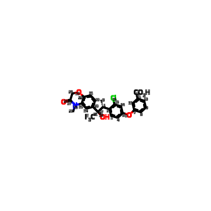 C[C@H](c1ccc(Oc2cccc(C(=O)O)c2)cc1Cl)[C@@](O)(c1ccc2c(c1)N(C)C(=O)CO2)C(F)(F)F